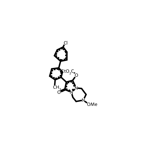 CCOC(=O)Oc1c(-c2cc(-c3ccc(Cl)cc3)ccc2C)c(=O)n2n1CCN(OC)CC2